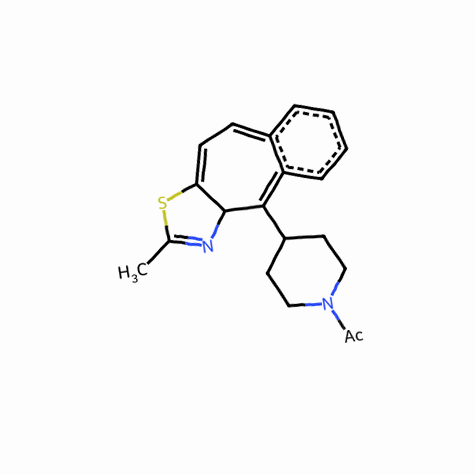 CC(=O)N1CCC(C2=c3ccccc3=CC=C3SC(C)=NC32)CC1